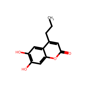 CCCc1cc(=O)oc2cc(O)c(O)cc12